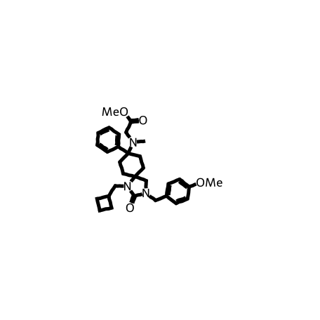 COC(=O)CN(C)C1(c2ccccc2)CCC2(CC1)CN(Cc1ccc(OC)cc1)C(=O)N2CC1CCC1